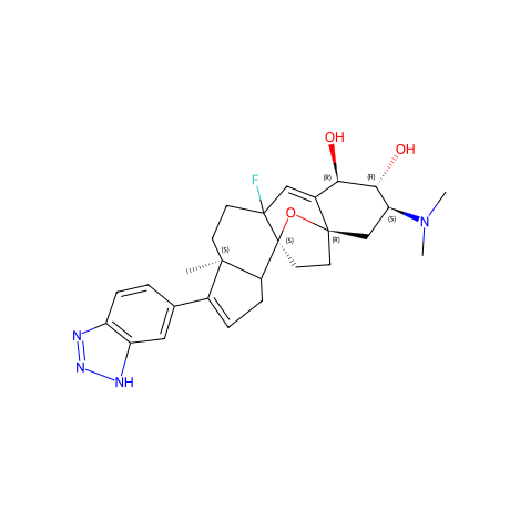 CN(C)[C@H]1C[C@@]23CC[C@]4(O2)C2CC=C(c5ccc6nn[nH]c6c5)[C@@]2(C)CCC4(F)C=C3[C@@H](O)[C@@H]1O